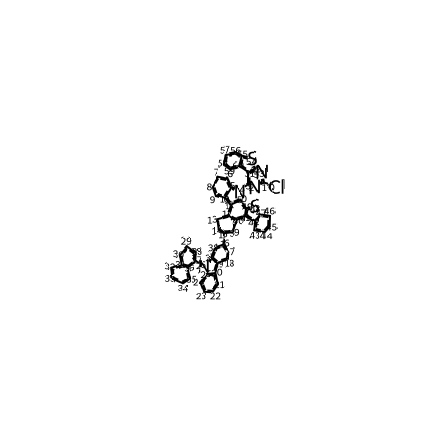 Clc1nc(-n2c3ccccc3c3c4ccc(-c5ccc6c7ccccc7n(-c7cccc8ccccc78)c6c5)cc4c4c5ccccc5sc4c32)c2c(n1)sc1ccccc12